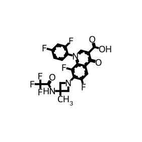 CC1(NC(=O)C(F)(F)F)CN(c2c(F)cc3c(=O)c(C(=O)O)cn(-c4ccc(F)cc4F)c3c2F)C1